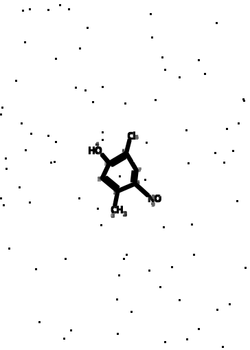 Cc1cc(O)c(Cl)cc1N=O